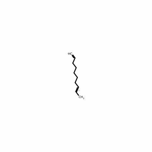 [CH]=CCCCCC/C=C/C